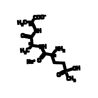 C[C@H](NC(=O)[C@H](C)NC(=O)[C@@H](N)CCP(C)(=O)O)C(=O)[O-].[Na+]